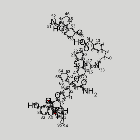 CC(C)Cc1ccc(C(C)C(=O)O)cc1.CC(CN1c2ccccc2Sc2ccccc21)N(C)C.COc1cccc([C@@]2(O)CCCC[C@@H]2CN(C)C)c1.NC(=O)C[S+]([O-])C(c1ccccc1)c1ccccc1.O=C1CC[C@@]2(O)[C@H]3Cc4ccc(O)c5c4[C@@]2(CCN3CC2CC2)[C@H]1O5